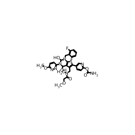 COCC(=O)N(C)Cc1c(-c2ccc(OC(N)=O)nc2)sc2c1C(O)N(c1ccc(OC)nn1)C(O)N2Cc1c(F)cccc1F